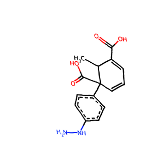 CC1C(C(=O)O)=CC=CC1(C(=O)O)c1ccc(NN)cc1